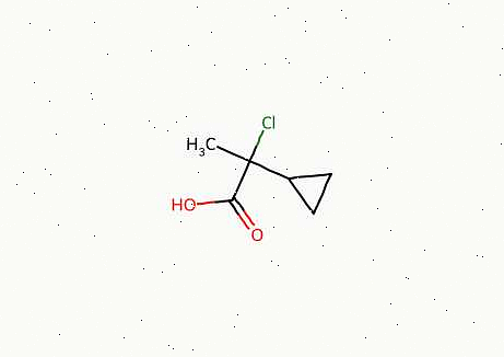 CC(Cl)(C(=O)O)C1CC1